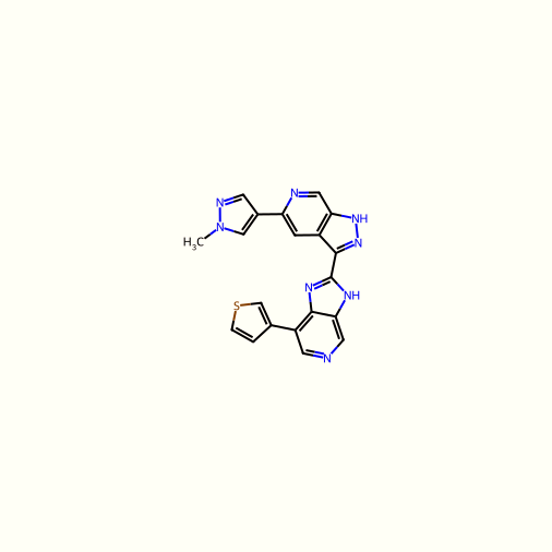 Cn1cc(-c2cc3c(-c4nc5c(-c6ccsc6)cncc5[nH]4)n[nH]c3cn2)cn1